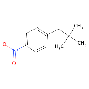 CC(C)(C)Cc1ccc([N+](=O)[O-])cc1